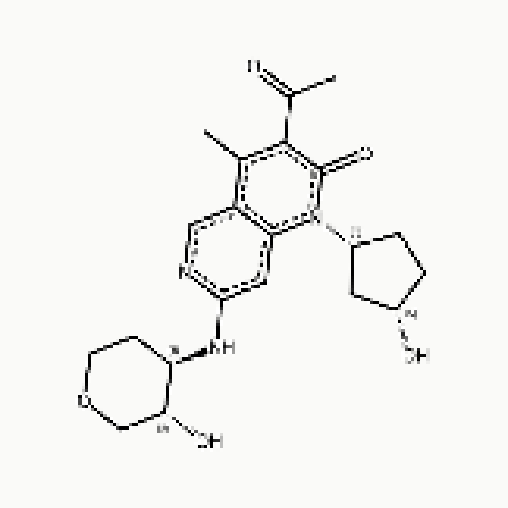 CC(=O)c1c(C)c2cnc(N[C@@H]3CCOC[C@H]3O)cc2n([C@@H]2CC[C@H](O)C2)c1=O